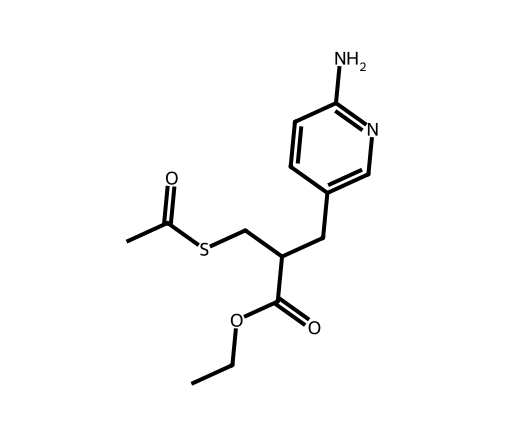 CCOC(=O)C(CSC(C)=O)Cc1ccc(N)nc1